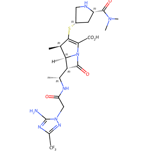 C[C@@H](NC(=O)Cn1nc(C(F)(F)F)nc1N)[C@H]1C(=O)N2C(C(=O)O)=C(S[C@@H]3CN[C@H](C(=O)N(C)C)C3)[C@H](C)[C@H]12